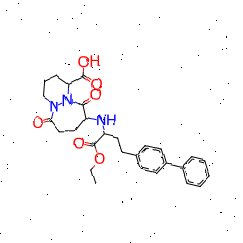 CCOC(=O)C(CCc1ccc(-c2ccccc2)cc1)NC1CCC(=O)N2CCCC(C(=O)O)N2C1=O